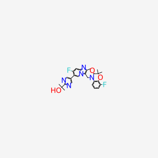 Cc1nc2cc(F)c(-c3cnc(C(C)(C)O)nc3)cn2c1CN1C(=O)C(C)(C)Oc2c(F)cccc21